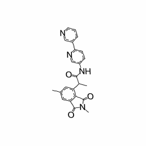 Cc1cc2c(c(C(C)C(=O)Nc3ccc(-c4cccnc4)nc3)c1)C(=O)N(C)C2=O